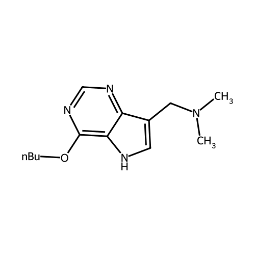 CCCCOc1ncnc2c(CN(C)C)c[nH]c12